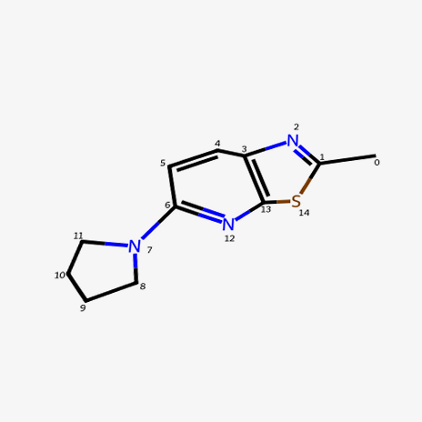 Cc1nc2ccc(N3CCCC3)nc2s1